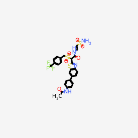 CC(=O)Nc1ccc(-c2ccc3nc(C(C(=O)NCCS(N)(=O)=O)S(=O)(=O)Cc4ccc(C(F)(F)F)cc4)sc3c2)cc1